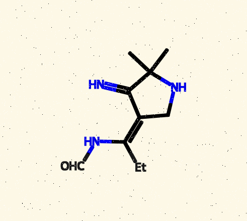 CC/C(NC=O)=C1\CNC(C)(C)C1=N